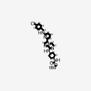 CC(C)(C)OC(=O)N[C@H]1CC[C@H](Nc2nccn3c(-c4cccc(NCc5ccc(Cl)cc5)n4)cnc23)CC1